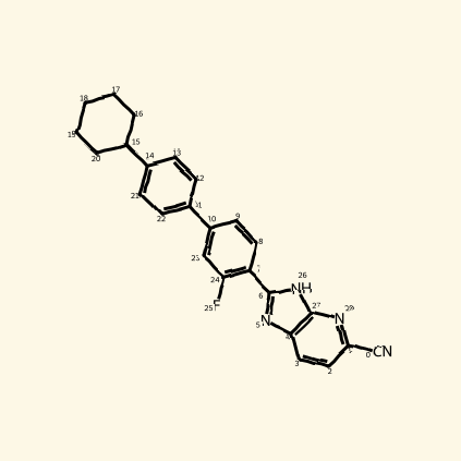 N#Cc1ccc2nc(-c3ccc(-c4ccc(C5CCCCC5)cc4)cc3F)[nH]c2n1